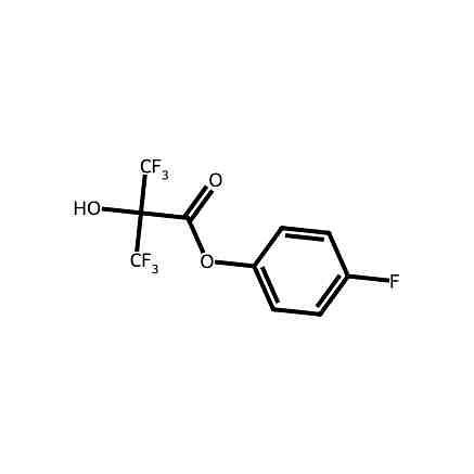 O=C(Oc1ccc(F)cc1)C(O)(C(F)(F)F)C(F)(F)F